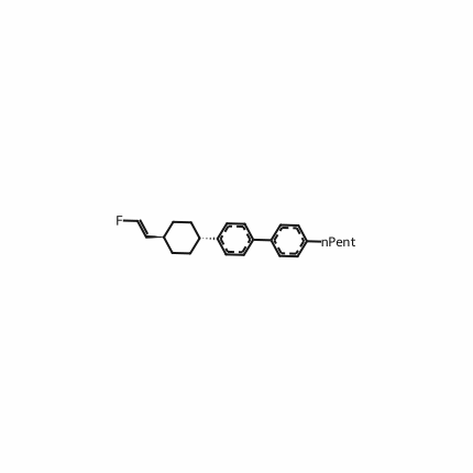 CCCCCc1ccc(-c2ccc([C@H]3CC[C@H](C=CF)CC3)cc2)cc1